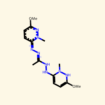 COC1=CC=C(NN/C(C)=N/N=c2/ccc(OC)nn2C)N(C)N1